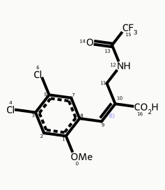 COc1cc(Cl)c(Cl)cc1/C=C(\CNC(=O)C(F)(F)F)C(=O)O